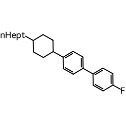 CCCCCCCC1CCC(c2ccc(-c3ccc(F)cc3)cc2)CC1